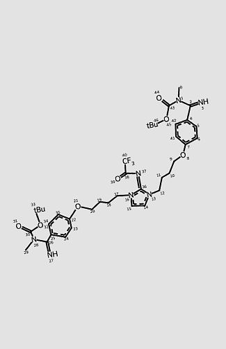 CN(C(=N)c1ccc(OCCCCn2ccn(CCCCOc3ccc(C(=N)N(C)C(=O)OC(C)(C)C)cc3)c2=NC(=O)C(F)(F)F)cc1)C(=O)OC(C)(C)C